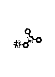 CC1(C)OB(c2cccc(-c3nc(-c4ccccc4)cc(C4C=CC=CC4)n3)c2)OC1(C)C